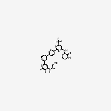 Cc1nc(-c2cc(-c3ccc(-c4nc(NC5CCCNC5=O)cc(C(F)(F)F)n4)nc3)ccn2)nc(NC(C)CO)c1C